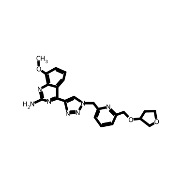 COc1cccc2c(-c3cn(Cc4cccc(COC5CCOC5)n4)nn3)nc(N)nc12